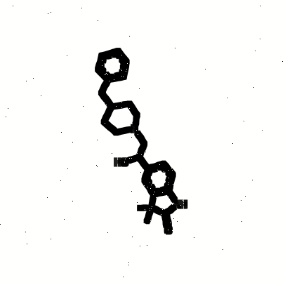 CC1(C)C(=O)Nc2ccc(C(O)CN3CCC(Cc4ccccc4)CC3)cc21